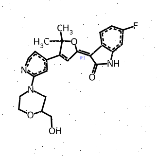 CC1(C)O/C(=C2/C(=O)Nc3cc(F)ccc32)C=C1c1ccnc(N2CCOC(CO)C2)c1